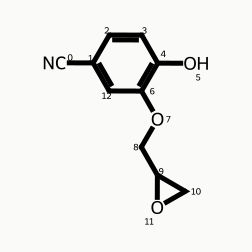 N#Cc1ccc(O)c(OCC2CO2)c1